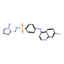 CCN1CCC[C@H]1CNS(=O)(=O)c1ccc(Nc2ccnc3cc(Cl)ccc23)cc1